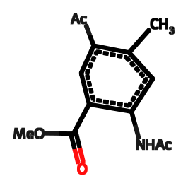 COC(=O)c1cc(C(C)=O)c(C)cc1NC(C)=O